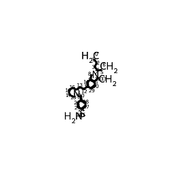 C=CCCC(C=C)N1Cc2cc(CCC3CCCCN3Cc3ccc(SN)cc3)ccc2C1=C